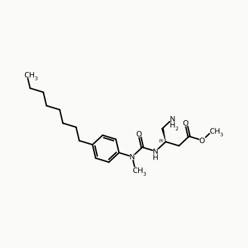 CCCCCCCCc1ccc(N(C)C(=O)N[C@@H](CN)CC(=O)OC)cc1